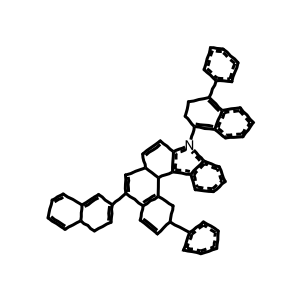 C1=CC2=CC(C3=CC4C=Cc5c(c6ccccc6n5C5=c6ccccc6=C(c6ccccc6)CC5)C4C4=C3C=CC(c3ccccc3)C4)=CCC2C=C1